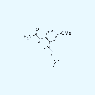 C=C(C(N)=O)c1ccc(OC)cc1N(C)CCN(C)C